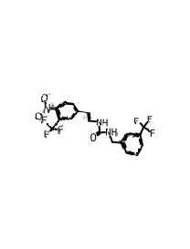 O=C(N/C=C/c1ccc([N+](=O)[O-])c(C(F)(F)F)c1)NCc1cccc(C(F)(F)F)c1